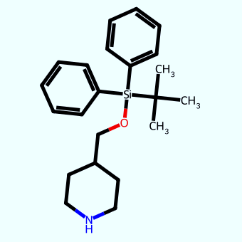 CC(C)(C)[Si](OCC1CCNCC1)(c1ccccc1)c1ccccc1